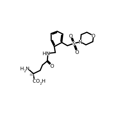 N[C@@H](CCC(=O)NCc1ccccc1CS(=O)(=O)N1CCOCC1)C(=O)O